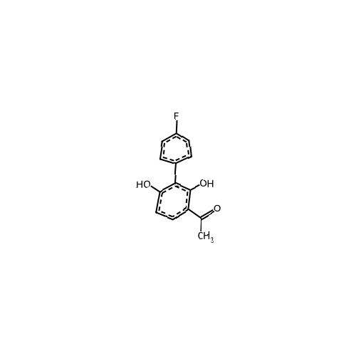 CC(=O)c1ccc(O)c(-c2ccc(F)cc2)c1O